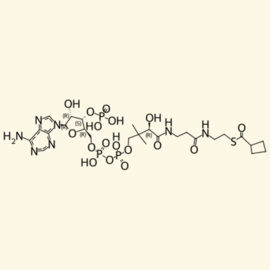 CC(C)(COP(=O)(O)OP(=O)(O)OC[C@H]1O[C@@H](n2cnc3c(N)ncnc32)[C@H](O)[C@@H]1OP(=O)(O)O)[C@@H](O)C(=O)NCCC(=O)NCCSC(=O)C1CCC1